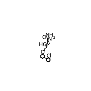 NC(=O)c1cn(C[C@@H](O)CCCOc2cccc(-c3ccccc3Cl)c2)cn1